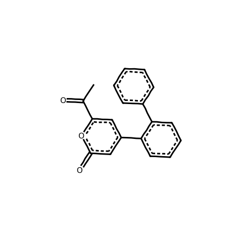 CC(=O)c1cc(-c2ccccc2-c2ccccc2)cc(=O)o1